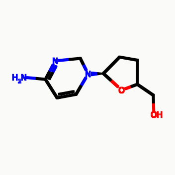 NC1=NCN([C@H]2CCC(CO)O2)C=C1